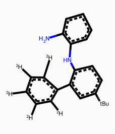 [2H]c1c([2H])c([2H])c(-c2cc(C(C)(C)C)ccc2Nc2ccccc2N)c([2H])c1[2H]